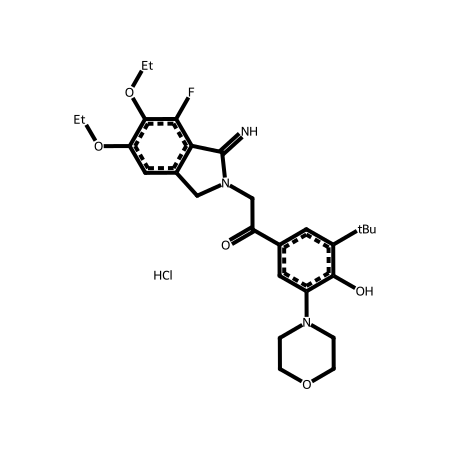 CCOc1cc2c(c(F)c1OCC)C(=N)N(CC(=O)c1cc(N3CCOCC3)c(O)c(C(C)(C)C)c1)C2.Cl